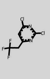 FC(F)(F)Cc1cc(Cl)nc(Cl)n1